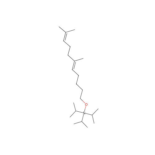 CC(C)=CCC/C(C)=C/CCCCO[Si](C(C)C)(C(C)C)C(C)C